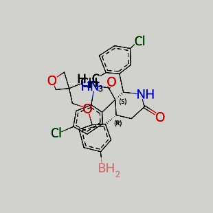 Bc1ccc(OCC2(C)COC2)c([C@H]2CC(=O)NC(c3cc(Cl)ccc3C)[C@]23C(=O)Nc2cc(Cl)ccc23)c1